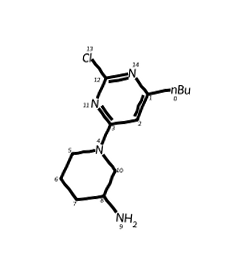 CCCCc1cc(N2CCCC(N)C2)nc(Cl)n1